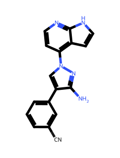 N#Cc1cccc(-c2cn(-c3ccnc4[nH]ccc34)nc2N)c1